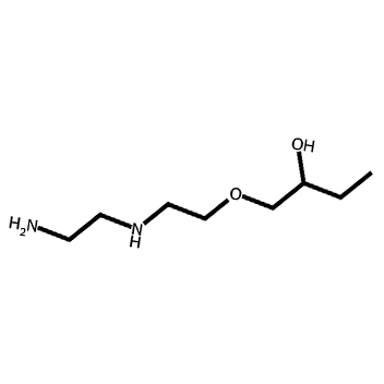 CCC(O)COCCNCCN